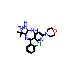 CC1(C)C2N=C(c3ccccc3Cl)c3cnc(N4CCOCC4)cc3NC2NN1I